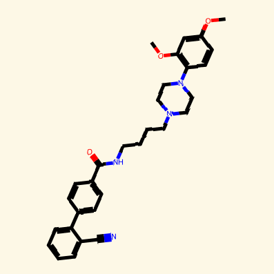 COc1ccc(N2CCN(CCCCNC(=O)c3ccc(-c4ccccc4C#N)cc3)CC2)c(OC)c1